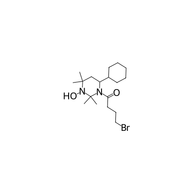 CC1(C)CC(C2CCCCC2)N(C(=O)CCCBr)C(C)(C)N1O